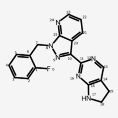 Fc1ccccc1Cn1nc(-c2ncc3c(n2)NCC3)c2cccnc21